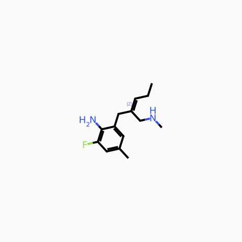 CC/C=C(\CNC)Cc1cc(C)cc(F)c1N